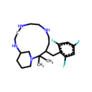 CC1(C)C(Cc2c(F)cc(F)cc2F)CCNCCNCCNC2CCCN1C2